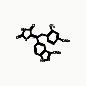 COc1ccc(C/C(=C2/SC(=O)NC2=O)c2ccc3[nH]nc(OC)c3c2)c(C(F)(F)F)c1